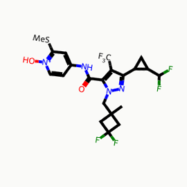 CSc1cc(NC(=O)c2c(C(F)(F)F)c(C3CC3C(F)F)nn2CC2(C)CC(F)(F)C2)cc[n+]1O